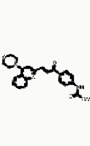 COC(=O)Nc1ccc(C(=O)/C=C/c2cc(N3CCOCC3)c3ccccc3n2)cc1